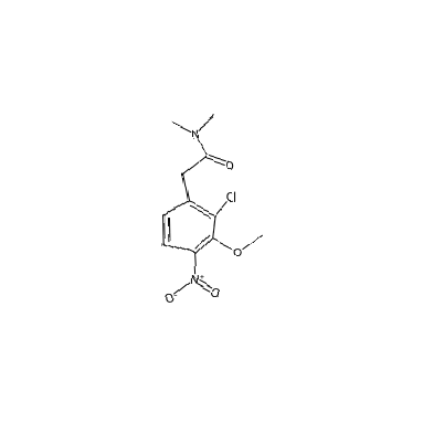 COc1c([N+](=O)[O-])ccc(CC(=O)N(C)C)c1Cl